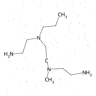 CCCN(CCN)CCN(C)CCN